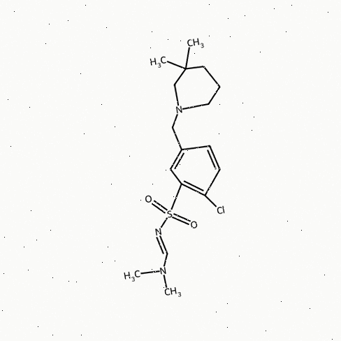 CN(C)/C=N/S(=O)(=O)c1cc(CN2CCCC(C)(C)C2)ccc1Cl